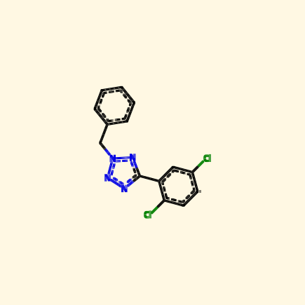 Clc1[c]cc(Cl)c(-c2nnn(Cc3ccccc3)n2)c1